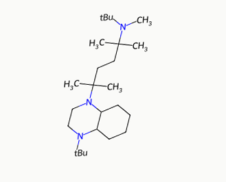 CN(C(C)(C)C)C(C)(C)CCC(C)(C)N1CCN(C(C)(C)C)C2CCCCC21